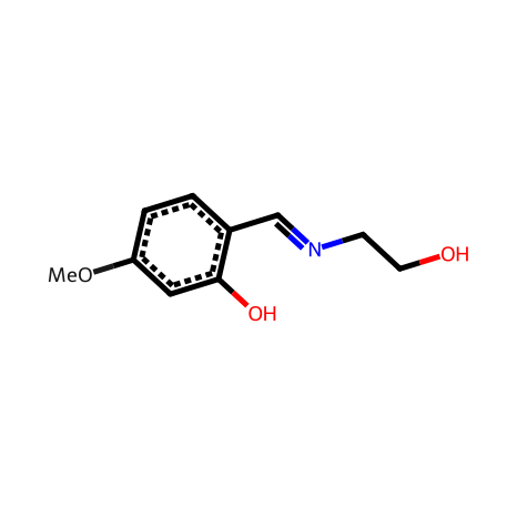 COc1ccc(C=NCCO)c(O)c1